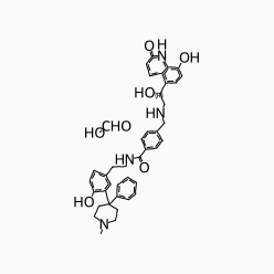 CN1CCC(c2ccccc2)(c2cc(CCNC(=O)c3ccc(CNC[C@H](O)c4ccc(O)c5[nH]c(=O)ccc45)cc3)ccc2O)CC1.O=CO